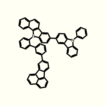 c1ccc(-n2c3ccccc3c3cc(-c4ccc5c(c4)c4ccc6ccccc6c4n5-c4ccccc4-c4cccc(-c5ccc6c(c5)-c5cccc7cccc-6c57)c4)ccc32)cc1